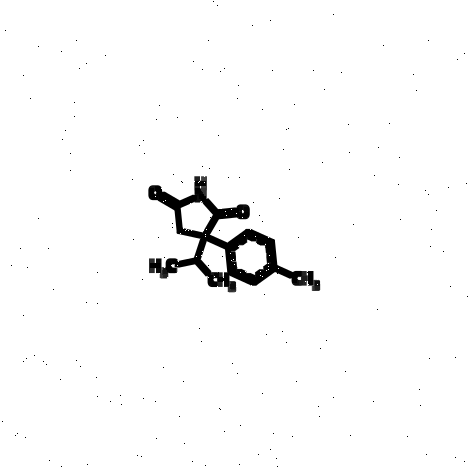 Cc1ccc(C2(C(C)C)CC(=O)NC2=O)cc1